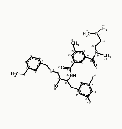 CCc1cccc(CNCC(O)C(Cc2cc(F)cc(F)c2)NC(=O)c2cc(C)cc(C(=O)N(C)CCN(C)C)c2)c1